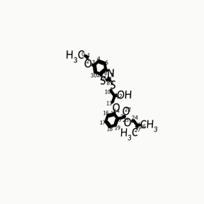 CCOc1ccc2nc(SCC(O)COc3ccccc3C(=O)OCC(C)C)sc2c1